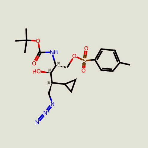 Cc1ccc(S(=O)(=O)OC[C@@H](NC(=O)OC(C)(C)C)[C@H](O)[C@H](CN=[N+]=[N-])C2CC2)cc1